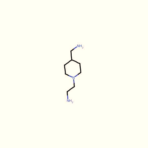 NCCN1CCC(CN)CC1